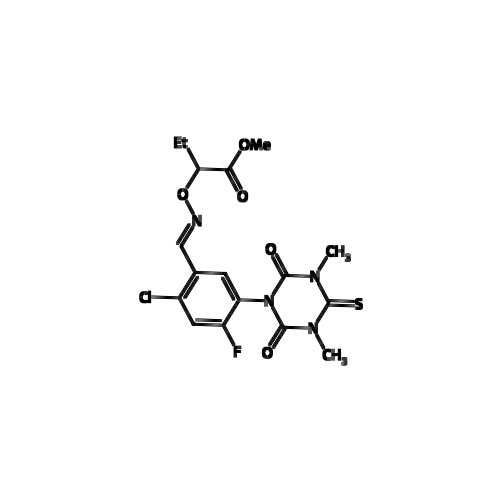 CCC(O/N=C/c1cc(-n2c(=O)n(C)c(=S)n(C)c2=O)c(F)cc1Cl)C(=O)OC